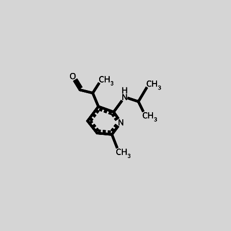 Cc1ccc(C(C)C=O)c(NC(C)C)n1